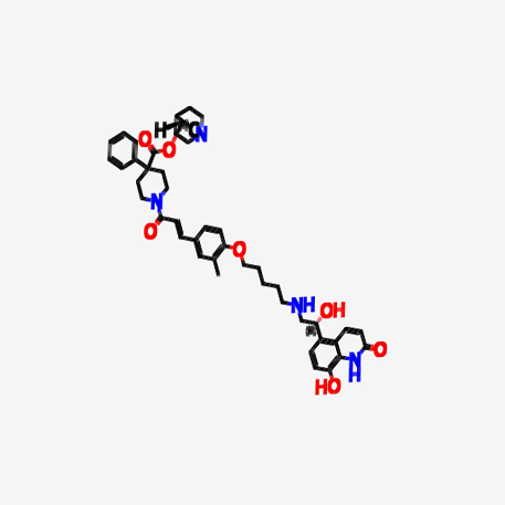 Cc1cc(C=CC(=O)N2CCC(C(=O)O[C@H]3CN4CCC3CC4)(c3ccccc3)CC2)ccc1OCCCCCNC[C@H](O)c1ccc(O)c2[nH]c(=O)ccc12